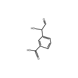 O=[C]C(O)c1cccc(C(=O)O)c1